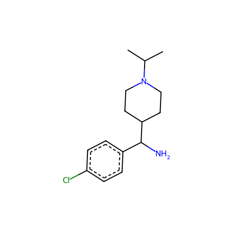 CC(C)N1CCC(C(N)c2ccc(Cl)cc2)CC1